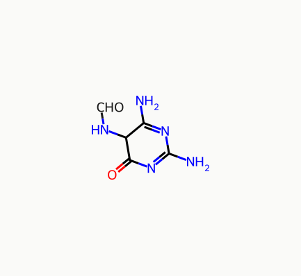 NC1=NC(=O)C(NC=O)C(N)=N1